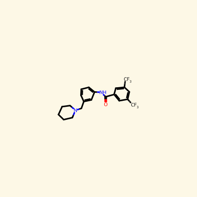 O=C(Nc1cccc(CN2CCCCC2)c1)c1cc(C(F)(F)F)cc(C(F)(F)F)c1